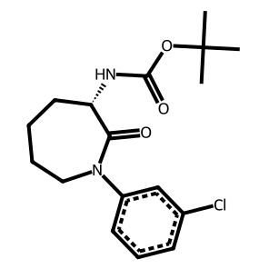 CC(C)(C)OC(=O)N[C@H]1CCCCN(c2cccc(Cl)c2)C1=O